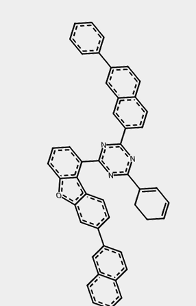 C1=CCCC(c2nc(-c3ccc4ccc(-c5ccccc5)cc4c3)nc(-c3cccc4oc5cc(-c6ccc7ccccc7c6)ccc5c34)n2)=C1